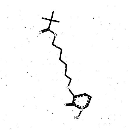 CC(C)(C)C(=O)OCCCCCCOc1cccn(O)c1=S